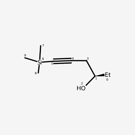 CC[C@@H](O)CC#C[Si](C)(C)C